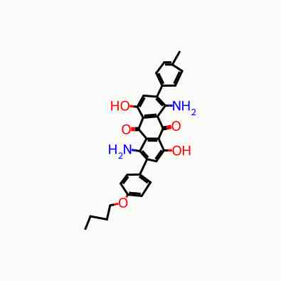 CCCCOc1ccc(-c2cc(O)c3c(c2N)C(=O)c2c(O)cc(-c4ccc(C)cc4)c(N)c2C3=O)cc1